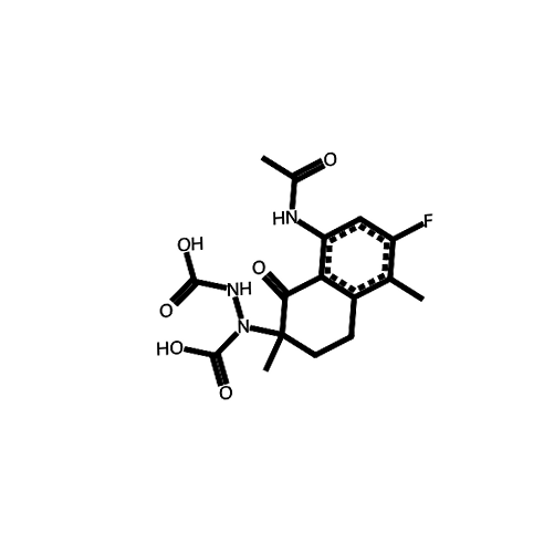 CC(=O)Nc1cc(F)c(C)c2c1C(=O)C(C)(N(NC(=O)O)C(=O)O)CC2